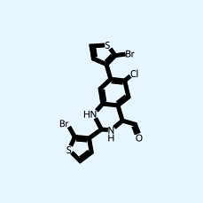 O=CC1NC(c2ccsc2Br)Nc2cc(-c3ccsc3Br)c(Cl)cc21